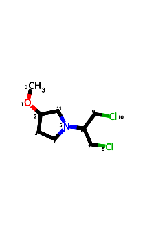 COC1CCN(C(CCl)CCl)C1